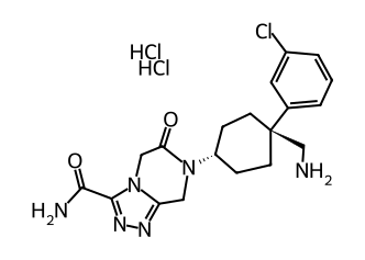 Cl.Cl.NC[C@]1(c2cccc(Cl)c2)CC[C@@H](N2Cc3nnc(C(N)=O)n3CC2=O)CC1